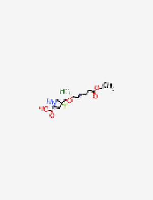 CCOC(=O)CC/C=C/COCC1(F)CN[C@@H](C(=O)O)C1.Cl